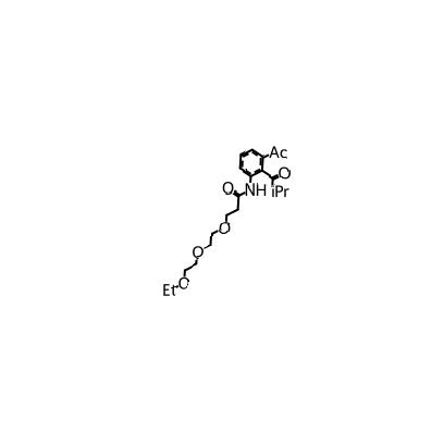 CCOCCOCCOCCC(=O)Nc1cccc(C(C)=O)c1C(=O)C(C)C